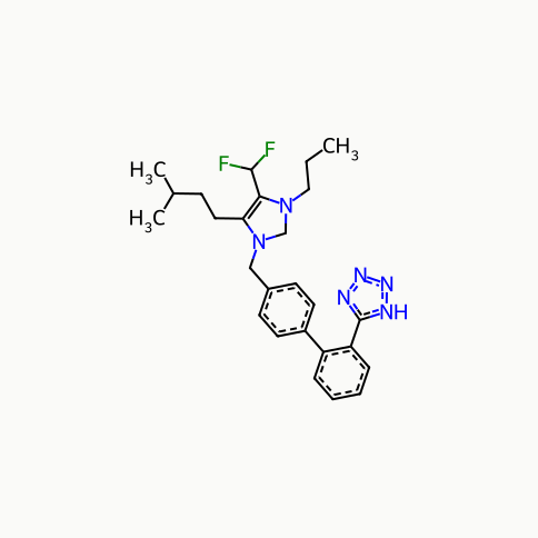 CCCN1CN(Cc2ccc(-c3ccccc3-c3nnn[nH]3)cc2)C(CCC(C)C)=C1C(F)F